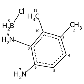 BCl.Cc1ccc(N)c(N)c1C